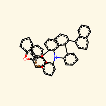 c1ccc(-c2cccc3ccccc23)c(-c2ccccc2N(c2ccccc2-c2cccc3oc4ccccc4c23)c2cccc3sc4ccccc4c23)c1